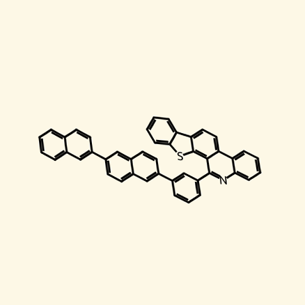 c1cc(-c2ccc3cc(-c4ccc5ccccc5c4)ccc3c2)cc(-c2nc3ccccc3c3ccc4c5ccccc5sc4c23)c1